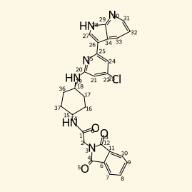 O=C(CN1C(=O)c2ccccc2C1=O)N[C@H]1CC[C@H](Nc2cc(Cl)cc(-c3c[nH]c4ncccc34)n2)CC1